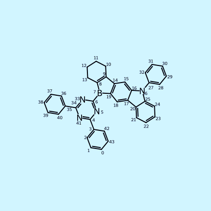 c1ccc(-c2nc(B3C4=C(CCCC4)c4cc5c(cc43)c3ccccc3n5-c3ccccc3)nc(-c3ccccc3)n2)cc1